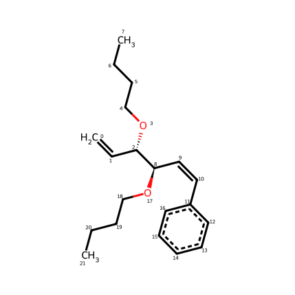 C=C[C@H](OCCCC)[C@@H](/C=C\c1ccccc1)OCCCC